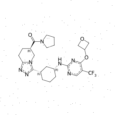 O=C([C@@H]1CCc2nnc([C@H]3CCC[C@@H](Nc4ncc(C(F)(F)F)c(OC5COC5)n4)C3)n2C1)N1CCCC1